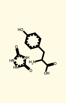 NC(Cc1ccc(O)cc1)C(=O)O.O=c1[nH][nH]c(=O)[nH]1